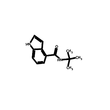 CC(C)(C)NC(=O)c1cccc2[nH]ccc12